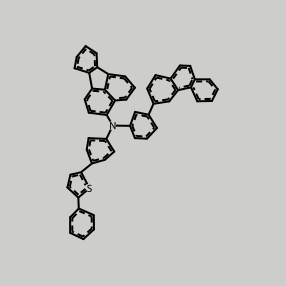 c1ccc(-c2ccc(-c3ccc(N(c4cccc(-c5ccc6ccc7ccccc7c6c5)c4)c4ccc5c6c(cccc46)-c4ccccc4-5)cc3)s2)cc1